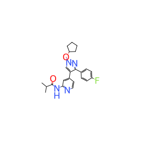 CC(C)C(=O)Nc1cc(-c2cn(OC3CCCC3)nc2-c2ccc(F)cc2)ccn1